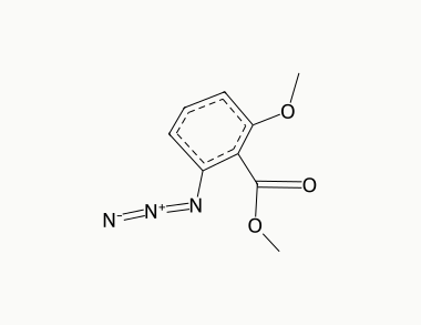 COC(=O)c1c(N=[N+]=[N-])cccc1OC